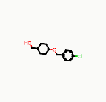 OCC1CCC(OCc2ccc(Cl)cc2)CC1